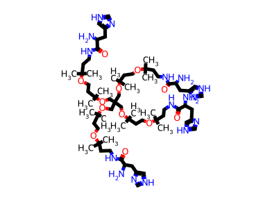 CC(C)(CCNC(=O)C(N)Cc1c[nH]cn1)OCCC(C)(C)OCC(COC(C)(C)CCOC(C)(C)CCNC(=O)C(N)Cc1c[nH]cn1)(COC(C)(C)CCOC(C)(C)CCNC(=O)C(N)Cc1c[nH]cn1)COC(C)(C)CCOC(C)(C)CCNC(=O)C(N)Cc1c[nH]cn1